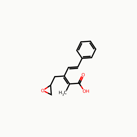 CC(C(=O)O)=C(C=Cc1ccccc1)CC1CO1